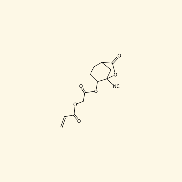 [C-]#[N+]C12CC(CCC1OC(=O)COC(=O)C=C)C(=O)O2